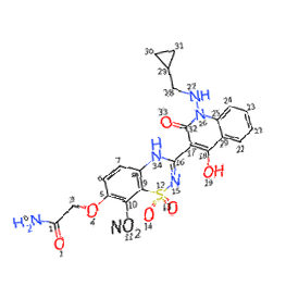 NC(=O)COc1ccc2c(c1[N+](=O)[O-])S(=O)(=O)N=C(c1c(O)c3ccccc3n(NCC3CC3)c1=O)N2